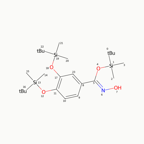 CC(C)(C)[Si](C)(C)OC(=NO)c1ccc(O[Si](C)(C)C(C)(C)C)c(O[Si](C)(C)C(C)(C)C)c1